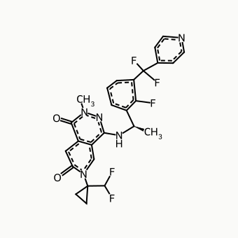 C[C@@H](Nc1nn(C)c(=O)c2cc(=O)n(C3(C(F)F)CC3)cc12)c1cccc(C(F)(F)c2ccncc2)c1F